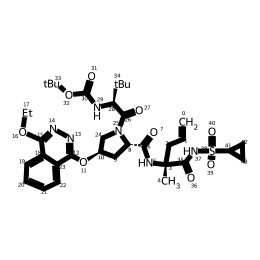 C=CC[C@@](C)(NC(=O)[C@@H]1C[C@@H](Oc2nnc(OCC)c3ccccc23)CN1C(=O)[C@@H](NC(=O)OC(C)(C)C)C(C)(C)C)C(=O)NS(=O)(=O)C1CC1